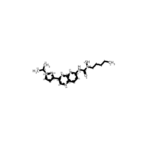 CCCCCN(S)C(=O)Nc1ccc2ncc(-c3ccn(C(C)C)n3)nc2n1